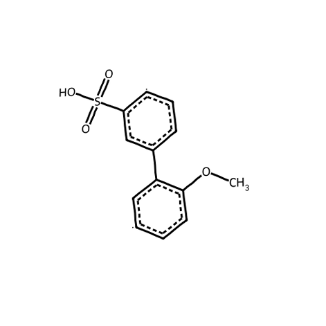 COc1cc[c]cc1-c1cc[c]c(S(=O)(=O)O)c1